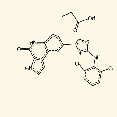 CCC(=O)O.O=c1[nH]c2ccc(-c3csc(Nc4c(Cl)cccc4Cl)n3)cc2c2cc[nH]c12